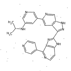 CC(C)Nc1cncc(-c2cc3c(-c4nc5c(-c6ccncc6)nccc5[nH]4)n[nH]c3cn2)c1